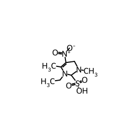 CCN1C(C)=C([N+](=O)[O-])CN(C)C1S(=O)(=O)O